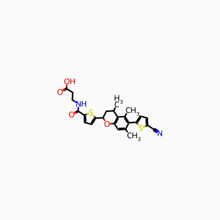 Cc1cc2c(c(C)c1-c1ccc(C#N)s1)C(C)CC(c1ccc(C(=O)NCCC(=O)O)s1)O2